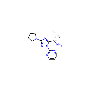 C[C@H](N)c1nc(N2CCCC2)nn1-c1ncccn1.Cl